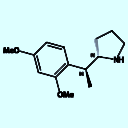 COc1ccc([C@H](C)[C@@H]2CCCN2)c(OC)c1